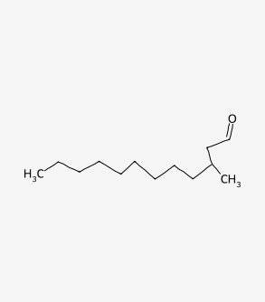 CCCCCCCCCC(C)CC=O